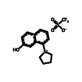 O=S(=O)([O-])C(F)(F)F.Oc1ccc2cccc([S+]3CCCC3)c2c1